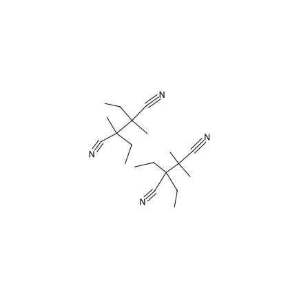 CCC(C#N)(CC)C(C)(C)C#N.CCC(C)(C#N)C(C)(C#N)CC